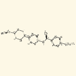 CCCCCc1ccc(C(=O)Oc2ccc(C3CCC(CCCCC)CC3)cc2)cc1